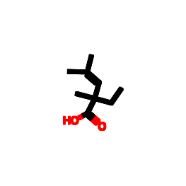 CCC(C)(C=C(C)C)C(=O)O